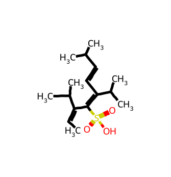 C\C=C(/C(=C(\C=C\C(C)C)C(C)C)S(=O)(=O)O)C(C)C